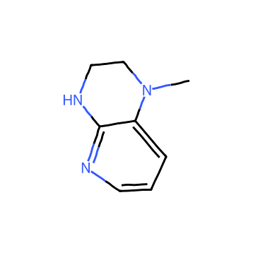 CN1CCNc2ncccc21